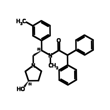 Cc1cccc([C@@H](CN2CC[C@H](O)C2)N(C)C(=O)C(c2ccccc2)c2ccccc2)c1